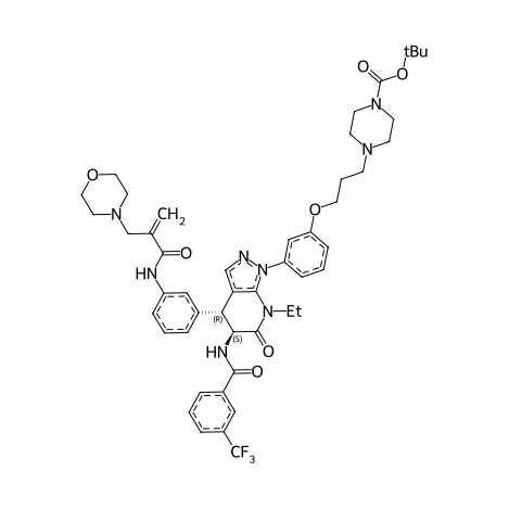 C=C(CN1CCOCC1)C(=O)Nc1cccc([C@@H]2c3cnn(-c4cccc(OCCCN5CCN(C(=O)OC(C)(C)C)CC5)c4)c3N(CC)C(=O)[C@H]2NC(=O)c2cccc(C(F)(F)F)c2)c1